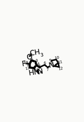 COc1cc2c(CCN3CCC4CC43)n[nH]c2cc1F